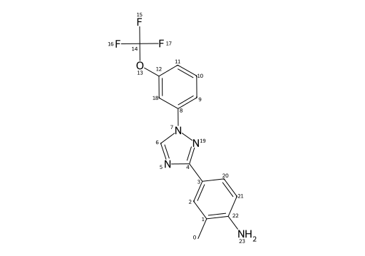 Cc1cc(-c2ncn(-c3cccc(OC(F)(F)F)c3)n2)ccc1N